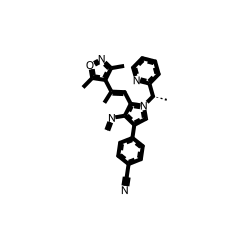 C=Nc1c(-c2ccc(C#N)cc2)cn([C@@H](C)c2ccccn2)c1/C=C(\C)c1c(C)noc1C